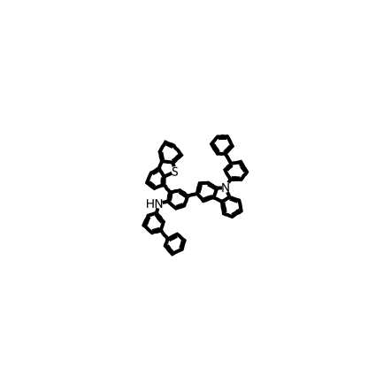 c1ccc(-c2cccc(Nc3ccc(-c4ccc5c(c4)c4ccccc4n5-c4cccc(-c5ccccc5)c4)cc3-c3cccc4c3sc3ccccc34)c2)cc1